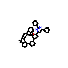 CC1(C)c2cc3c4cc2-c2c(cccc21)-c1cccc(c1)-c1ccc(-c2cc(-c5ccccc5)nc(-c5ccccc5)n2)cc1C4(C)c1ccccc1-3